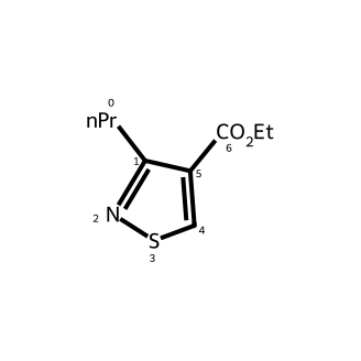 CCCc1nscc1C(=O)OCC